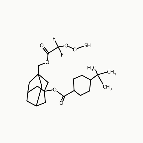 CC(C)(C)C1CCC(C(=O)OC23CC4CC(CC(COC(=O)C(F)(F)OOS)(C4)C2)C3)CC1